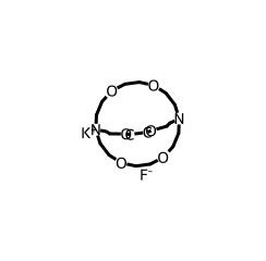 C1COCCN2CCOCCOCCN(CCO1)CCOCCOCC2.[F-].[K+]